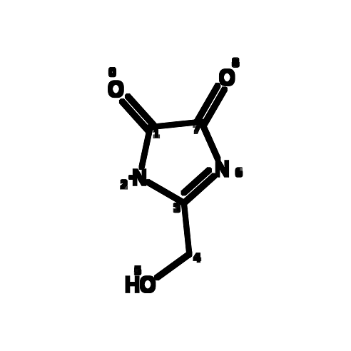 O=C1[N]C(CO)=NC1=O